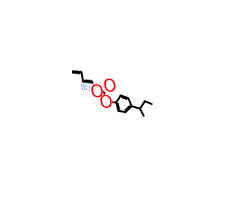 C=C/C=C/OC(=O)Oc1ccc(C(C)CC)cc1